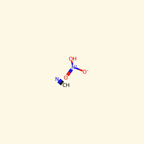 C#N.O=[N+]([O-])O